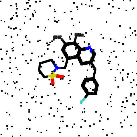 COc1c(C=O)cc(CN2CCCCS2(=O)=O)c2cc(Cc3ccc(F)cc3)cnc12